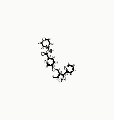 Cc1onc(-c2ccccn2)c1COc1ccc(C(=O)NN2CCOCC2)nc1